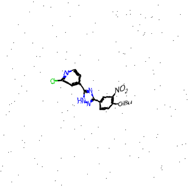 CC(C)COc1ccc(-c2n[nH]c(-c3ccnc(Cl)c3)n2)cc1[N+](=O)[O-]